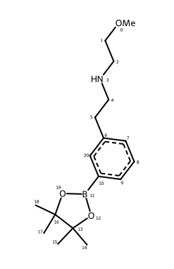 COCCNCCc1cccc(B2OC(C)(C)C(C)(C)O2)c1